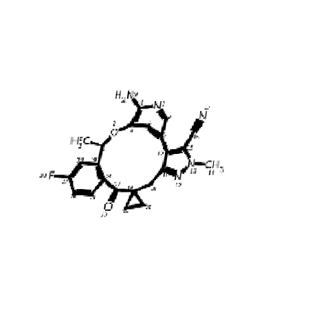 C[C@H]1Oc2cc(cnc2N)-c2c(nn(C)c2C#N)CC2(CC2)C(=O)c2ccc(F)cc21